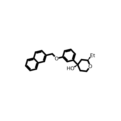 CC[C@@H]1C[C@@](O)(c2cccc(OCc3ccc4ccccc4c3)c2)CCO1